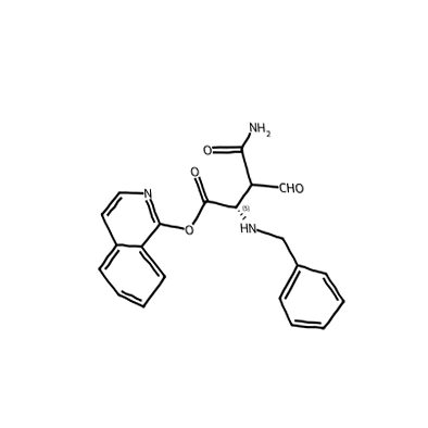 NC(=O)C(C=O)[C@H](NCc1ccccc1)C(=O)Oc1nccc2ccccc12